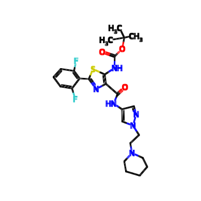 CC(C)(C)OC(=O)Nc1sc(-c2c(F)cccc2F)nc1C(=O)Nc1cnn(CCN2CCCCC2)c1